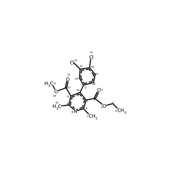 CCOC(=O)c1c(C)nc(C)c(C(=O)OC)c1-c1ccc(Cl)c(Cl)c1